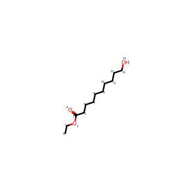 CCOC(=O)CCCCCCCCCO